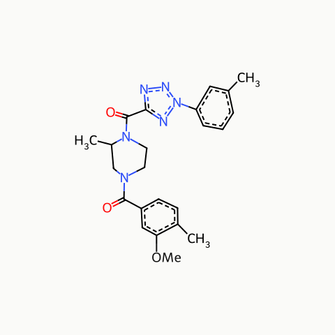 COc1cc(C(=O)N2CCN(C(=O)c3nnn(-c4cccc(C)c4)n3)C(C)C2)ccc1C